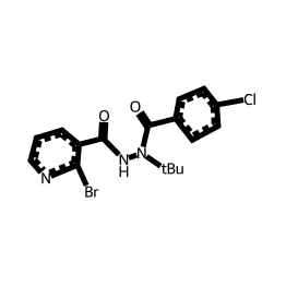 CC(C)(C)N(NC(=O)c1cccnc1Br)C(=O)c1ccc(Cl)cc1